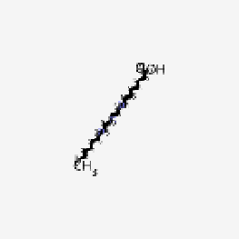 CCCCCCC/C=C/C/C=C/C/C=C/CCCCCCC(=O)O